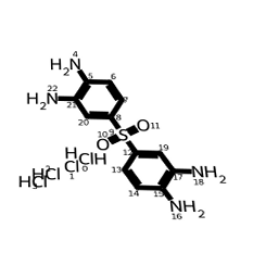 Cl.Cl.Cl.Cl.Nc1ccc(S(=O)(=O)c2ccc(N)c(N)c2)cc1N